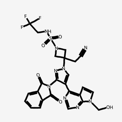 N#CCC1(n2cc(-c3ncnc4c3ccn4CO)c(N3C(=O)c4ccccc4C3=O)n2)CN(S(=O)(=O)NCC(F)(F)F)C1